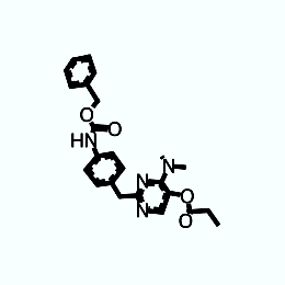 CCC(=O)Oc1cnc(Cc2ccc(NC(=O)OCc3ccccc3)cc2)nc1N(C)C